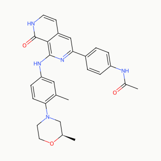 CC(=O)Nc1ccc(-c2cc3cc[nH]c(=O)c3c(Nc3ccc(N4CCO[C@H](C)C4)c(C)c3)n2)cc1